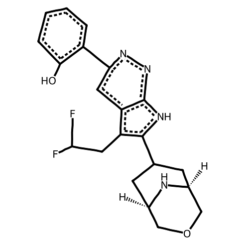 Oc1ccccc1-c1cc2c(CC(F)F)c(C3C[C@H]4COC[C@@H](C3)N4)[nH]c2nn1